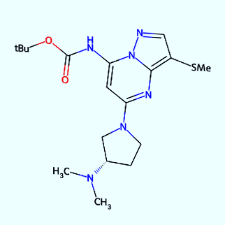 CSc1cnn2c(NC(=O)OC(C)(C)C)cc(N3CC[C@H](N(C)C)C3)nc12